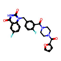 O=C(c1ccco1)N1CCN(C(=O)c2cc(Cn3c(=O)[nH]c(=O)c4cc(F)ccc43)ccc2F)CC1